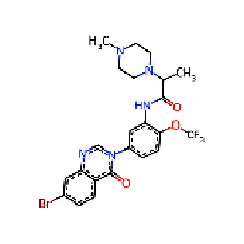 CC(C(=O)Nc1cc(-n2cnc3cc(Br)ccc3c2=O)ccc1OC(F)(F)F)N1CCN(C)CC1